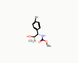 CC(=O)c1ccc([C@H](NC(=O)OC(C)(C)C)[C@@H](O)C(=O)O)cc1